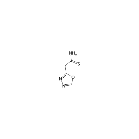 NC(=S)Cc1nnco1